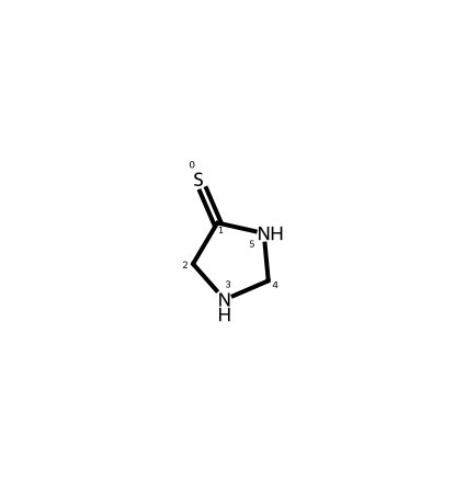 S=C1CNCN1